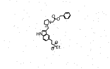 CCS(=O)(=O)CCc1ccc2[nH]cc(C[C@H]3CCCN3CC(=O)OCc3ccccc3)c2c1